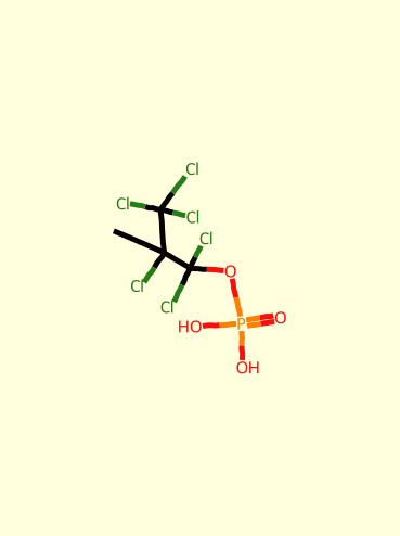 CC(Cl)(C(Cl)(Cl)Cl)C(Cl)(Cl)OP(=O)(O)O